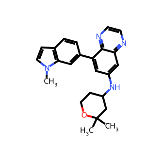 Cn1ccc2ccc(-c3cc(NC4CCOC(C)(C)C4)cc4nccnc34)cc21